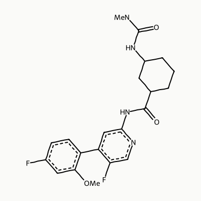 CNC(=O)NC1CCCC(C(=O)Nc2cc(-c3ccc(F)cc3OC)c(F)cn2)C1